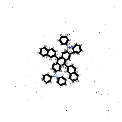 c1ccc(N(c2ccccc2)c2ccc3c(-c4ccc5ccccc5c4)c4cc5c(cc4c(-c4ccc6ccccc6c4)c3c2)c2ccccc2n5-c2ccccc2)cc1